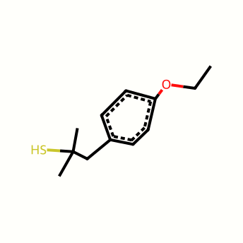 CCOc1ccc(CC(C)(C)S)cc1